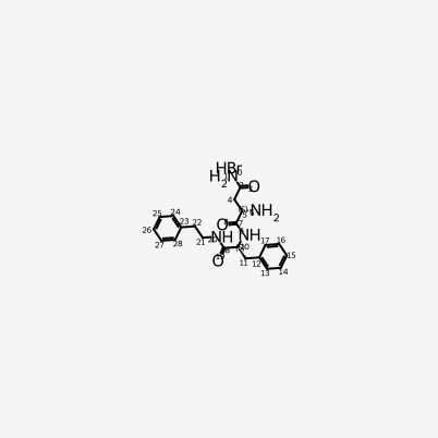 Br.NC(=O)C[C@H](N)C(=O)N[C@@H](Cc1ccccc1)C(=O)NCCc1ccccc1